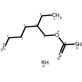 CCCCC(CC)COC(=S)S.[KH]